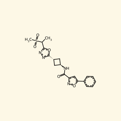 CC(c1nnc([C@H]2C[C@H](NC(=O)c3cc(-c4ccccc4)on3)C2)o1)S(C)(=O)=O